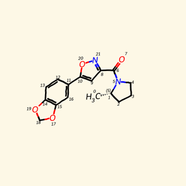 C[C@H]1CCCN1C(=O)c1cc(-c2ccc3c(c2)OCO3)on1